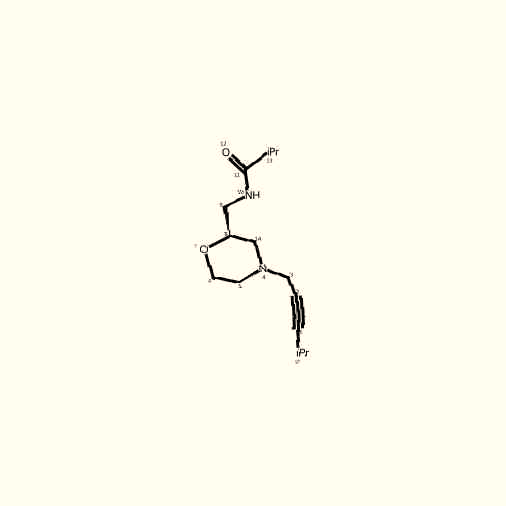 CC(C)C#CCN1CCO[C@@H](CNC(=O)C(C)C)C1